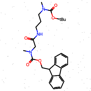 CN(CC(=O)NCCCN(C)C(=O)OC(C)(C)C)C(=O)OCC1c2ccccc2-c2ccccc21